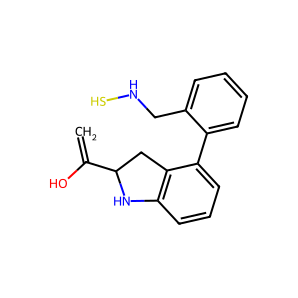 C=C(O)C1Cc2c(cccc2-c2ccccc2CNS)N1